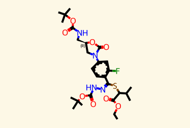 CCOC(=O)C(SC(=NNC(=O)OC(C)(C)C)c1ccc(N2C[C@@H](CNC(=O)OC(C)(C)C)OC2=O)cc1F)C(C)C